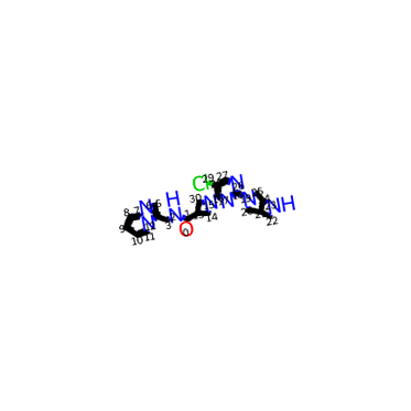 O=C(NCc1cnc2ccccn12)C1CN(c2nc(N3CC4CNC4C3)ncc2Cl)C1